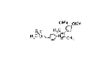 COc1ccc(-c2c(C)nn(-c3ccc(CCOS(C)(=O)=O)cc3)c2C)cc1OC